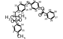 Cc1ccc(S(=O)(=O)C(C)(C)Cc2ccc(Sc3ccc(OC(=O)c4ccccc4)cc3)cc2)cc1